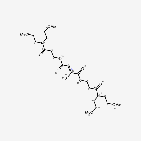 COCCN(CCOC)C(=O)CCOC(=O)/C=C(\C)C(=O)OCCC(=O)N(CCOC)CCOC